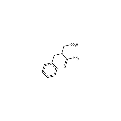 NC(=O)N(CC(=O)O)Cc1ccccc1